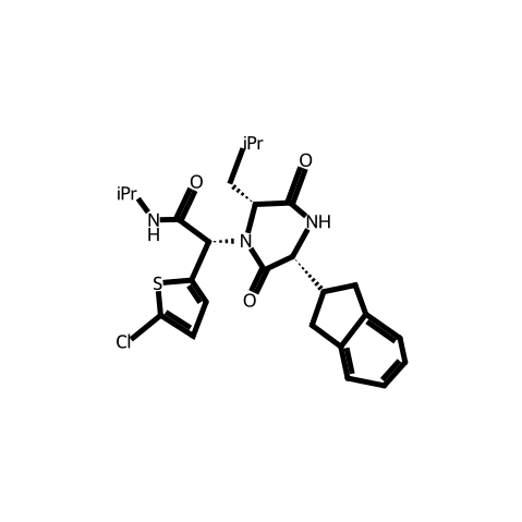 CC(C)C[C@@H]1C(=O)N[C@H](C2Cc3ccccc3C2)C(=O)N1[C@@H](C(=O)NC(C)C)c1ccc(Cl)s1